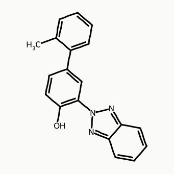 Cc1ccccc1-c1ccc(O)c(-n2nc3ccccc3n2)c1